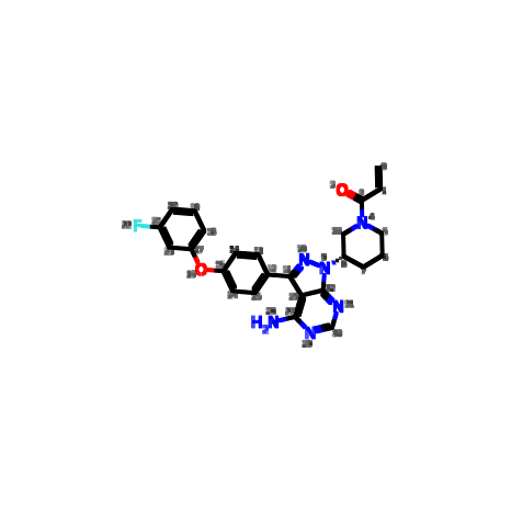 C=CC(=O)N1CCC[C@H](n2nc(-c3ccc(Oc4cccc(F)c4)cc3)c3c(N)ncnc32)C1